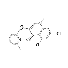 Cc1cccc(O/C(=C/N(C)C)C(=O)c2ccc(Cl)cc2Cl)n1